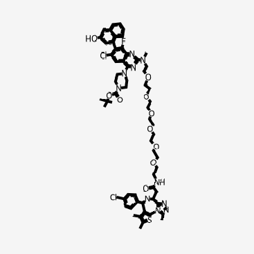 Cc1sc2c(c1C)C(c1ccc(Cl)cc1)=NC(CC(=O)NCCOCCOCCOCCOCCOCCOCCN(C)c1nc(N3CCN(C(=O)OC(C)(C)C)CC3)c3cc(Cl)c(-c4cc(O)cc5ccccc45)c(F)c3n1)c1nnc(C)n1-2